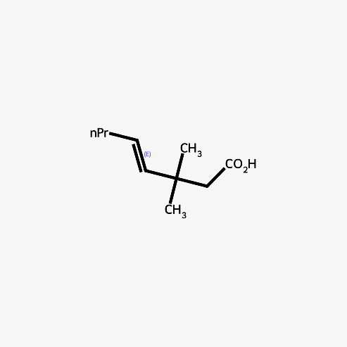 CCC/C=C/C(C)(C)CC(=O)O